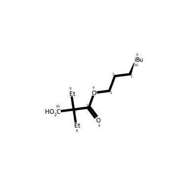 CC[C@H](C)CCCOC(=O)C(CC)(CC)C(=O)O